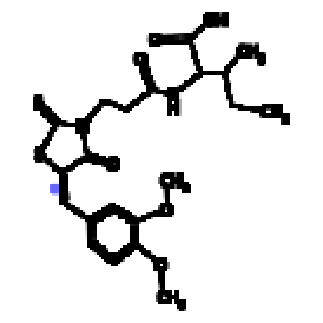 CCC(C)C(NC(=O)CCN1C(=O)/C(=C\c2ccc(OC)c(OC)c2)SC1=S)C(=O)O